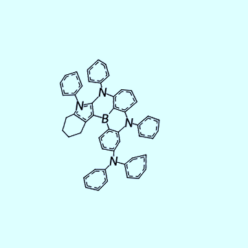 c1ccc(N(c2ccccc2)c2ccc3c(c2)N(c2ccccc2)c2cccc4c2B3c2c3c(n(-c5ccccc5)c2N4c2ccccc2)CCCC3)cc1